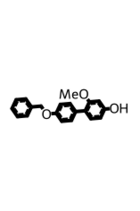 COc1cc(O)ccc1-c1ccc(OCc2ccccc2)cc1